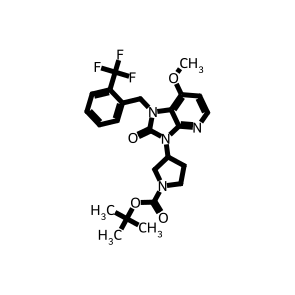 COc1ccnc2c1n(Cc1ccccc1C(F)(F)F)c(=O)n2C1CCN(C(=O)OC(C)(C)C)C1